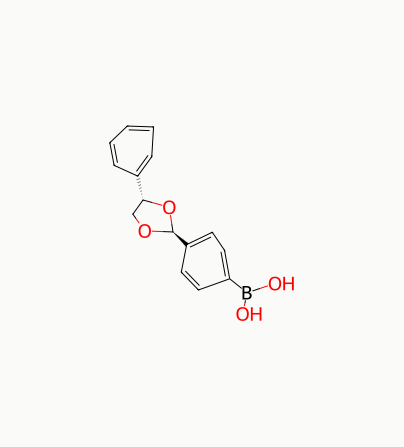 OB(O)c1ccc([C@H]2OC[C@H](c3ccccc3)O2)cc1